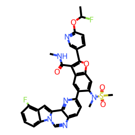 CNC(=O)c1c(-c2ccc(OC(C)F)nc2)oc2cc(N(C)S(C)(=O)=O)c(-c3ccc4ncn5c6cccc(F)c6cc5c4n3)cc12